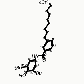 CCCCCCCCCCCCCCCCCCc1cccc(C(=O)Nc2cc(C(C)(C)C)c(O)c(C(C)(C)C)c2)c1